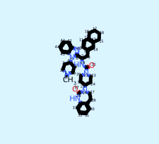 CN1CCC(n2c(C(Cc3ccc4c(c3)CCCC4)NC(=O)N3CCC(N4CCc5ccccc5NC4=O)CC3)nc3ccccc32)CC1